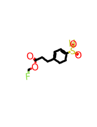 O=C(CCC1=CC=C([SH](=O)=O)CC1)OCF